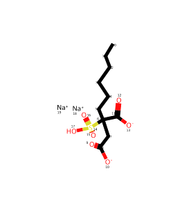 CCCCCCC(CC(=O)[O-])(C(=O)[O-])S(=O)(=O)O.[Na+].[Na+]